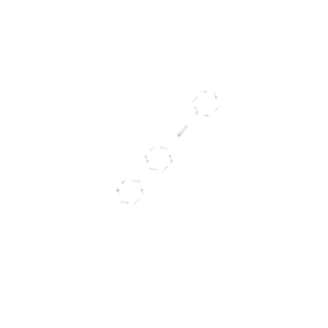 CCCCc1ccc(C#Cc2ccc(-c3ccc(CC)cc3)c(F)c2F)cc1